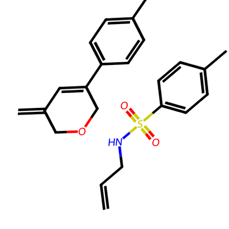 C=C1C=C(c2ccc(C)cc2)COC1.C=CCNS(=O)(=O)c1ccc(C)cc1